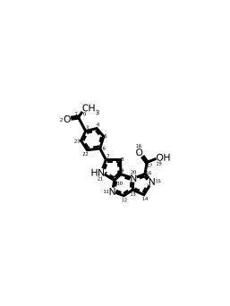 CC(=O)c1ccc(-c2cc3c(ncc4cnc(C(=O)O)n43)[nH]2)cc1